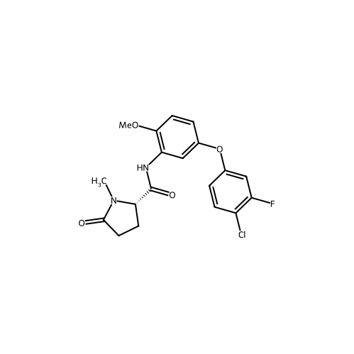 COc1ccc(Oc2ccc(Cl)c(F)c2)cc1NC(=O)[C@@H]1CCC(=O)N1C